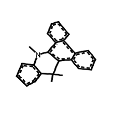 CN1c2ccccc2C(C)(C)c2c1c1ccccc1c1ccccc21